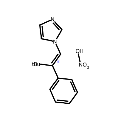 CC(C)(C)/C(=C\n1ccnc1)c1ccccc1.O=[N+]([O-])O